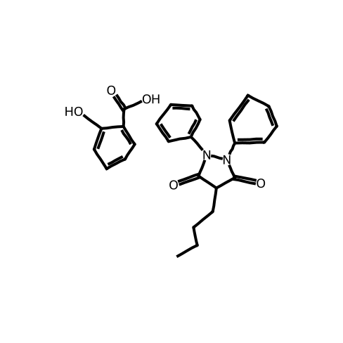 CCCCC1C(=O)N(c2ccccc2)N(c2ccccc2)C1=O.O=C(O)c1ccccc1O